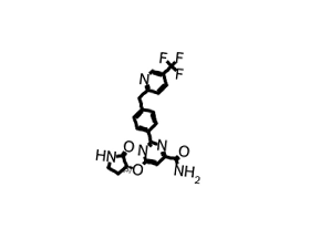 NC(=O)c1cc(O[C@H]2CCNC2=O)nc(-c2ccc(Cc3ccc(C(F)(F)F)cn3)cc2)n1